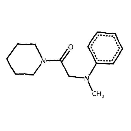 CN(CC(=O)N1CCCCC1)c1ccccc1